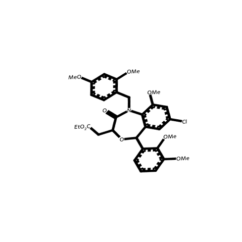 CCOC(=O)CC1OC(c2cccc(OC)c2OC)c2cc(Cl)cc(OC)c2N(Cc2ccc(OC)cc2OC)C1=O